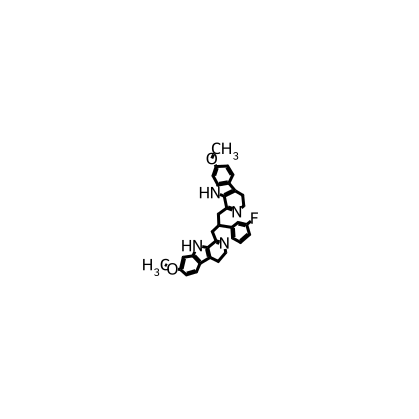 COc1ccc2c3c([nH]c2c1)C(CC(CC1=NCCc2c1[nH]c1cc(OC)ccc21)c1cccc(F)c1)=NCC3